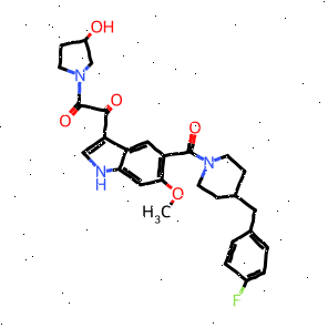 COc1cc2[nH]cc(C(=O)C(=O)N3CCC(O)C3)c2cc1C(=O)N1CCC(Cc2ccc(F)cc2)CC1